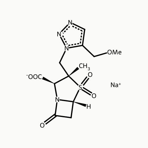 COCc1cnnn1C[C@@]1(C)[C@H](C(=O)[O-])N2C(=O)C[C@H]2S1(=O)=O.[Na+]